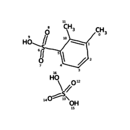 Cc1cccc(S(=O)(=O)O)c1C.O=S(=O)(O)O